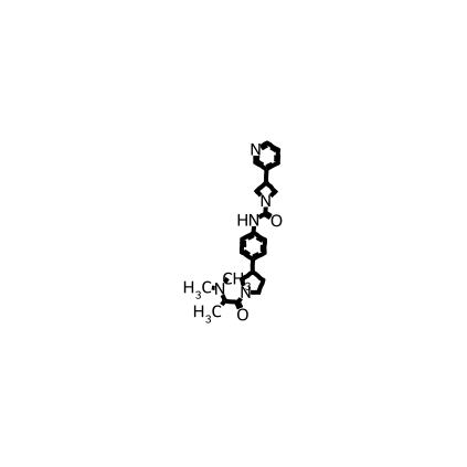 CC(C(=O)N1CCC(c2ccc(NC(=O)N3CC(c4cccnc4)C3)cc2)C1)N(C)C